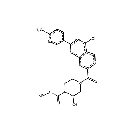 CCCOC(=O)N1CCN(C(=O)c2ccc3c(Cl)cc(-c4ccc(C)nc4)nc3c2)C[C@H]1C